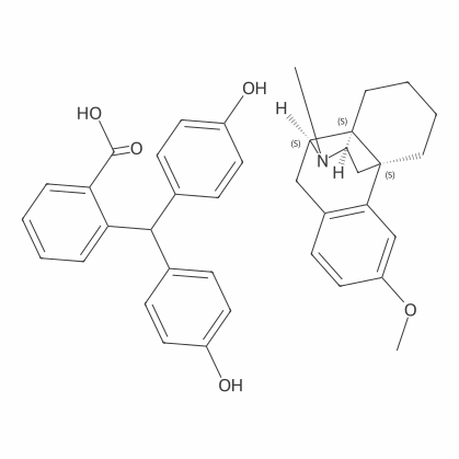 COc1ccc2c(c1)[C@]13CCCC[C@@H]1[C@H](C2)N(C)CC3.O=C(O)c1ccccc1C(c1ccc(O)cc1)c1ccc(O)cc1